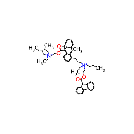 CCCC[N+](CC)(CCC)CCOC(=O)C1=c2cccc(CCC[N+](CC)(CCCC)CCOC(=O)C3c4ccccc4-c4ccccc43)c2=CC2(C)C=CC=C[C@H]12